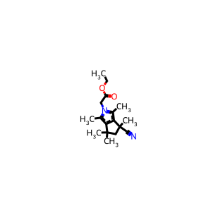 CCOC(=O)Cn1c(C)c2c(c1C)C(C)(C#N)CC2(C)C